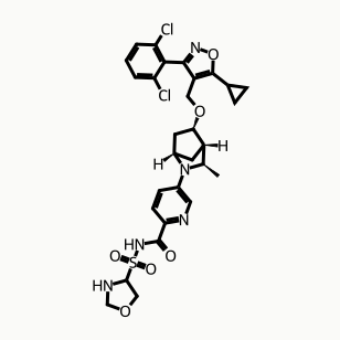 C[C@@H]1[C@@H]2C[C@@H](C[C@H]2OCc2c(-c3c(Cl)cccc3Cl)noc2C2CC2)N1c1ccc(C(=O)NS(=O)(=O)C2COCN2)nc1